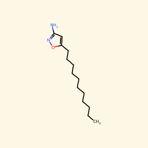 CCCCCCCCCCCc1cc(N)no1